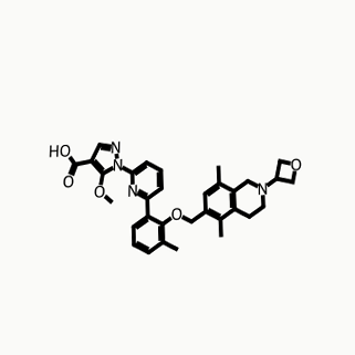 COc1c(C(=O)O)cnn1-c1cccc(-c2cccc(C)c2OCc2cc(C)c3c(c2C)CCN(C2COC2)C3)n1